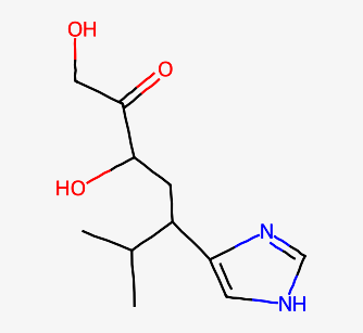 CC(C)C(CC(O)C(=O)CO)c1c[nH]cn1